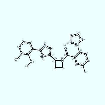 COc1c(Cl)cccc1-c1nnc([C@@H]2CCN2C(=O)c2cc(C)ccc2-n2nccn2)[nH]1